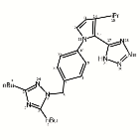 CCCCc1nc(CCCC)n(Cc2ccc(-n3ccc(C(C)C)c3-c3nnn[nH]3)cc2)n1